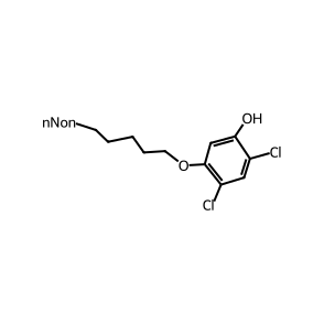 CCCCCCCCCCCCCCOc1cc(O)c(Cl)cc1Cl